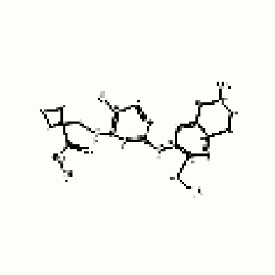 CNC(=O)C1(CNc2nc(Nc3cc4c(nc3OC)CCN(C)C4)ncc2Cl)CCC1